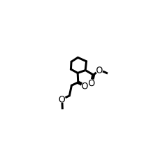 COCCC(=O)C1CCCCC1C(=O)OC